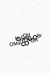 COc1ccccc1[C@H](c1cccc2ccccc12)[C@@](C)(C#N)C(O)N1CCC(O)(c2ccc(Br)cc2)CC1